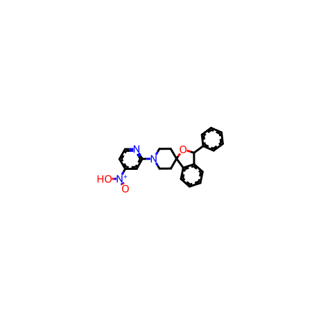 O=[N+](O)c1ccnc(N2CCC3(CC2)OC(c2ccccc2)c2ccccc23)c1